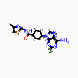 Cc1csc(NC(=O)C2CCC(n3cnc4c(N)nc(F)nc43)CC2)n1